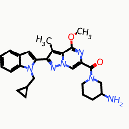 COc1nc(C(=O)N2CCCC(N)C2)cn2nc(-c3cc4ccccc4n3CC3CC3)c(C)c12